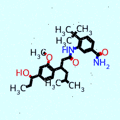 CCC(O)c1ccc(C(CC(=O)Nc2cc(C(N)=O)ccc2C(C)(C)C)CC(C)C)c(OC)c1